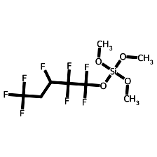 CO[Si](OC)(OC)OC(F)(F)C(F)(F)C(F)CC(F)(F)F